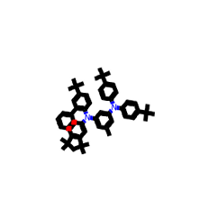 Cc1cc(N(c2ccc(C(C)(C)C)cc2)c2ccc(C(C)(C)C)cc2)cc(N(c2ccc3c(c2)C(C)(C)CC3(C)C)c2ccc(C(C)(C)C)cc2-c2ccccc2)c1